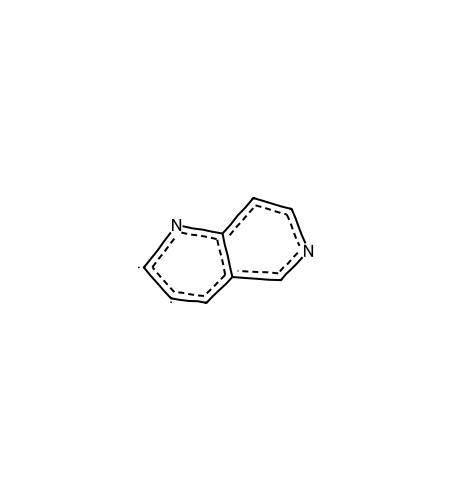 [c]1[c]nc2ccncc2c1